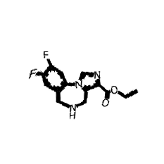 CCOC(=O)c1ncn2c1CNCc1cc(F)c(F)cc1-2